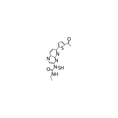 CCNC(=O)N(S)c1cnc2ccc(-c3ccc(C(C)=O)s3)nc2n1